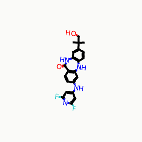 CC(C)(CO)c1ccc2c(c1)NC(=O)c1ccc(Nc3cc(F)nc(F)c3)cc1N2